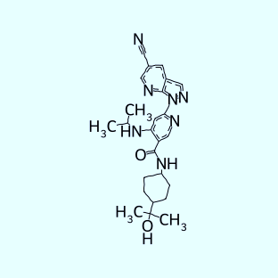 CC(C)Nc1cc(-n2ncc3cc(C#N)cnc32)ncc1C(=O)NC1CCC(C(C)(C)O)CC1